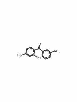 Nc1ccc(C(=O)c2cccc([N+](=O)[O-])c2)c(O)c1